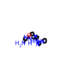 NCc1ccnc(C(=O)NCCC2C(Nc3nccc(N4CCCCCC4)n3)CCCN2C2CCCCC2)c1